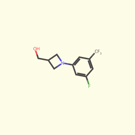 OCC1CN(c2cc(F)cc(C(F)(F)F)c2)C1